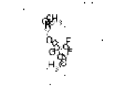 COc1ccc(C2=C(c3cc(F)cc(F)c3)c3ccc(OCCC4CCN(S(C)(=O)=O)CC4)cc3C2=O)cn1